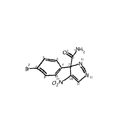 NC(=O)C1(c2ccc(Br)cc2)N=NC=C1[N+](=O)[O-]